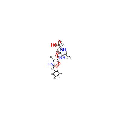 CC[C@H](C)[C@H](NC(=O)C(=O)C(C)NC(=O)Cc1ccccc1)C(=O)NC(C)(C)C(=O)O